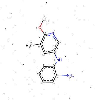 COc1ncc(Nc2ccccc2N)cc1C